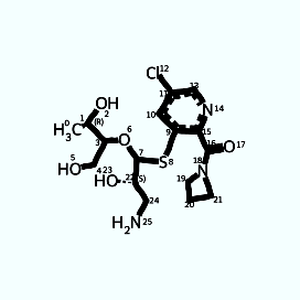 C[C@@H](O)C(CO)OC(Sc1cc(Cl)cnc1C(=O)N1CCC1)[C@@H](O)CN